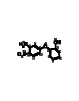 Nc1cc(Oc2ccccc2O)ccc1[N+](=O)[O-]